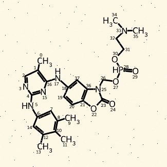 Cc1cnc(Nc2cc(C)c(C)c(C)c2)nc1Nc1ccc2oc(=O)n(CO[PH](=O)OCCN(C)C)c2c1